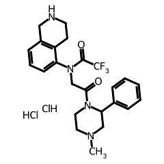 CN1CCN(C(=O)CN(C(=O)C(F)(F)F)c2cccc3c2CCNC3)C(c2ccccc2)C1.Cl.Cl